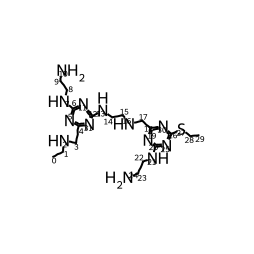 CCNCc1nc(NCCN)nc(NCCNCc2nc(NCCN)nc(SCC)n2)n1